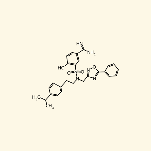 CC(C)c1ccc(CCN(Cc2noc(-c3ccccc3)n2)S(=O)(=O)c2cc(C(=N)N)ccc2O)cc1